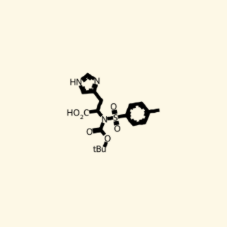 Cc1ccc(S(=O)(=O)N(C(=O)OC(C)(C)C)C(Cc2c[nH]cn2)C(=O)O)cc1